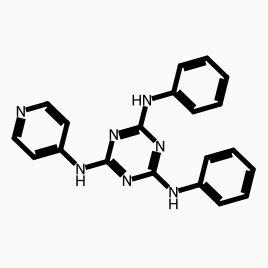 c1ccc(Nc2nc(Nc3ccccc3)nc(Nc3ccncc3)n2)cc1